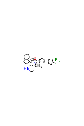 CN(C(=O)c1ccc(-c2ccc(C(F)(F)F)cc2)cc1)C(C)(c1cccc2ccccc12)C1CCCCNC1